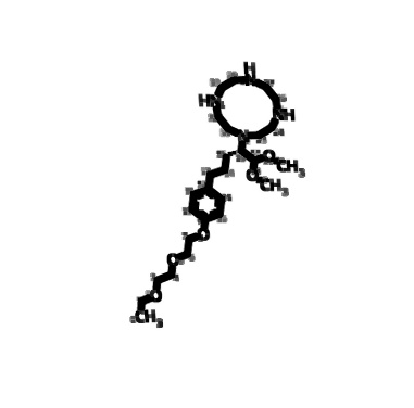 CCOCCOCCOc1ccc(CCC[C@@H](C(OC)OC)N2CCNCCNCCNCC2)cc1